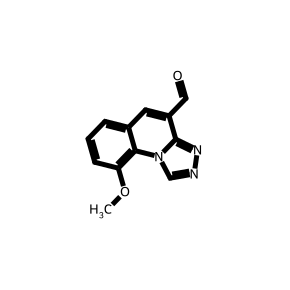 COc1cccc2cc(C=O)c3nncn3c12